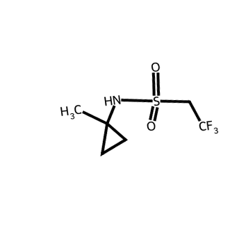 CC1(NS(=O)(=O)CC(F)(F)F)CC1